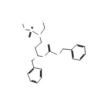 CCCCNS(=O)(=O)N(CC(C)C)C[C@@H](O)[C@H](Cc1ccccc1)NC(=O)OCc1ccccc1